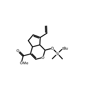 C=CC1=CCC2C(C(=O)OC)=COC(O[Si](C)(C)C(C)(C)C)C12